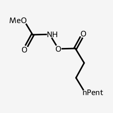 CCCCCCCC(=O)ONC(=O)OC